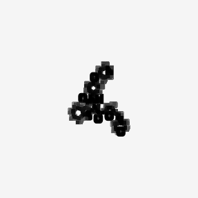 O=C(Nc1sc2c(c1C(=O)Nc1ccc(Oc3ccncc3)cc1)CCCC2)c1ccc(CN2CCOCC2)o1